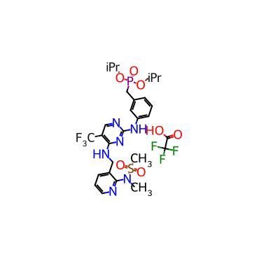 CC(C)OP(=O)(Cc1cccc(Nc2ncc(C(F)(F)F)c(NCc3cccnc3N(C)S(C)(=O)=O)n2)c1)OC(C)C.O=C(O)C(F)(F)F